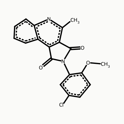 COc1ccc(Cl)cc1N1C(=O)c2c(C)nc3ccccc3c2C1=O